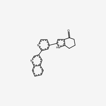 O=C1CCCc2[nH]c(-c3ccnc(-c4cnc5ccccc5c4)c3)cc21